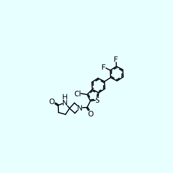 O=C1CCC2(CN(C(=O)c3sc4cc(-c5cccc(F)c5F)ccc4c3Cl)C2)N1